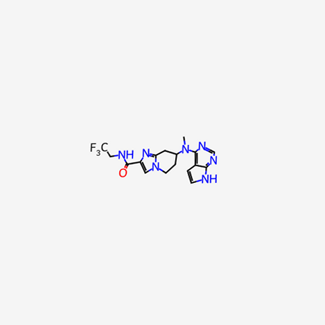 CN(c1ncnc2[nH]ccc12)C1CCn2cc(C(=O)NCC(F)(F)F)nc2C1